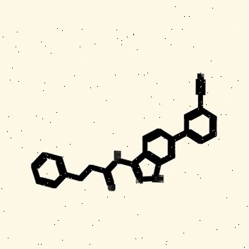 N#Cc1cccc(-c2ccc3c(NC(=O)CCc4ccccc4)n[nH]c3c2)c1